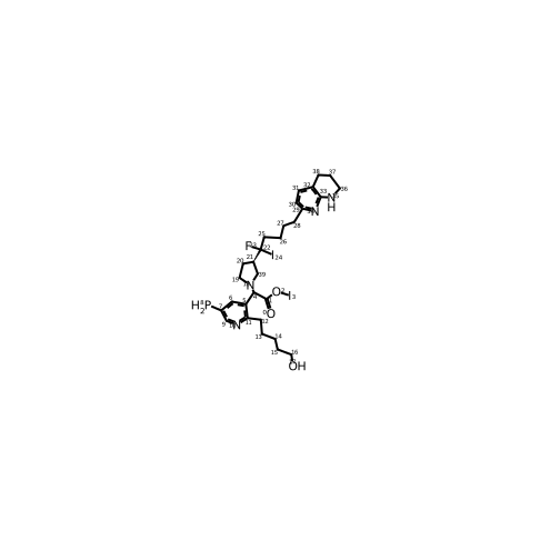 O=C(OI)C(c1cc(P)cnc1CCCCCO)N1CC[C@@H](C(F)(I)CCCCc2ccc3c(n2)NCCC3)C1